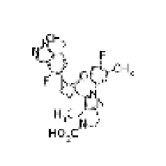 Cc1cc(-n2nc3c(c2-n2ccn(-c4ccc5c(cnn5C)c4F)c2=O)[C@H](C)N(C(=O)O)CC3)ccc1F